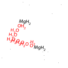 O.O.O.O.O.O.O.O.[MgH2].[MgH2]